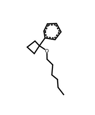 CCCCCCOC1(c2ccccc2)CCC1